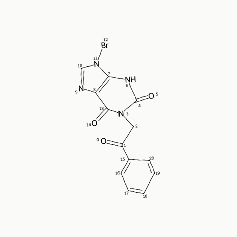 O=C(Cn1c(=O)[nH]c2c(ncn2Br)c1=O)c1ccccc1